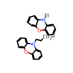 CCN1c2ccccc2Oc2ccccc21.O=C(O)CCN1c2ccccc2Oc2ccccc21